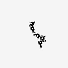 Cc1cc(Nc2cncc(C#N)c2)nc(-c2ccc(C(=O)NCc3ccc(-c4cc(F)cnc4C)nc3)nc2)n1